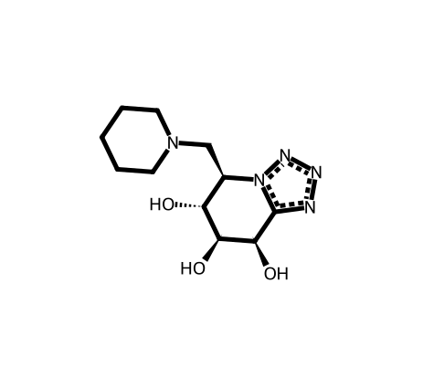 O[C@H]1[C@H](O)[C@@H](CN2CCCCC2)n2nnnc2[C@H]1O